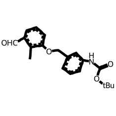 Cc1c(C=O)cccc1OCc1cccc(NC(=O)OC(C)(C)C)c1